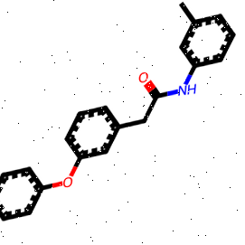 Cc1cccc(NC(=O)Cc2cccc(Oc3ccccc3)c2)c1